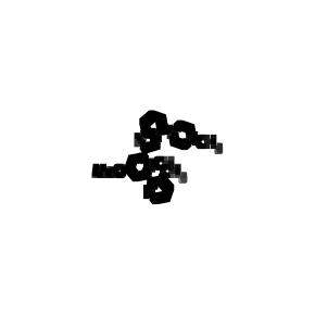 CO[C@H]1C[C@H](C2CN3C(N4CCN(C)CC4)=CC=CC3=N2)N(C)[C@H](c2ncccc2C)C1